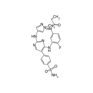 C=CC(=O)Nc1ccc(F)c(Nc2nc(Nc3cnn(C)c3)ncc2-c2ccc(S(N)(=O)=O)cc2)c1